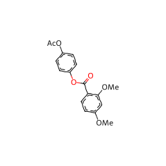 COc1ccc(C(=O)Oc2ccc(OC(C)=O)cc2)c(OC)c1